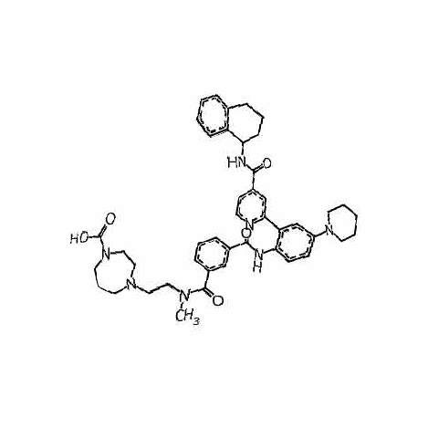 CN(CCN1CCCN(C(=O)O)CC1)C(=O)c1cccc(C(=O)Nc2ccc(N3CCCCC3)cc2-c2cc(C(=O)NC3CCCc4ccccc43)ccn2)c1